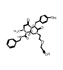 C#CCOCCN1C[C@H]2N(C(=O)CN(C)N2C(=O)NCc2ccccc2)[C@@H](Cc2ccc(O)cc2)C1=O